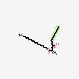 C=C(CC=C(CCCC(F)(F)C(F)(F)C(F)(F)C(F)(F)C(F)(F)C(F)(F)C(F)(F)C(F)(F)F)C(=O)O)C(=O)OCCCCCCCCCCCCCCCCCC